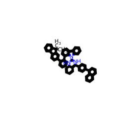 CC1(C)c2ccccc2-c2ccc(-c3ccccc3-c3cccc4c5ccccc5n(C5NC(c6ccc(-c7cccc8ccccc78)cc6)=C6C=CC=CC6N5)c34)cc21